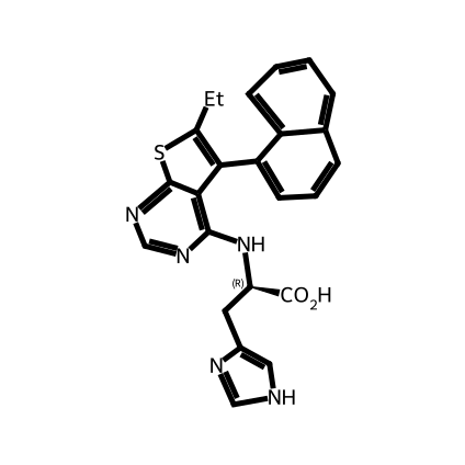 CCc1sc2ncnc(N[C@H](Cc3c[nH]cn3)C(=O)O)c2c1-c1cccc2ccccc12